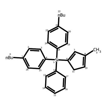 CCCCc1ccc([Si](C2=CC(C)=CC2)(c2ccccc2)c2ccc(CCCC)cc2)cc1